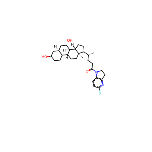 C[C@H](CCC(=O)N1CCc2nc(F)ccc21)[C@H]1CC[C@H]2[C@@H]3[C@@H](O)C[C@@H]4C[C@H](O)CC[C@]4(C)[C@H]3CC[C@]12C